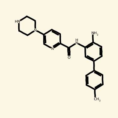 Cc1ccc(-c2ccc(N)c(NC(=O)c3ccc(N4CCNCC4)cn3)c2)cc1